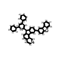 c1ccc(-c2cc(-c3ccccc3)nc(C3c4ccc(-c5ccc6oc7ccccc7c6c5)cc4-c4c3ccc3ccncc43)c2)cc1